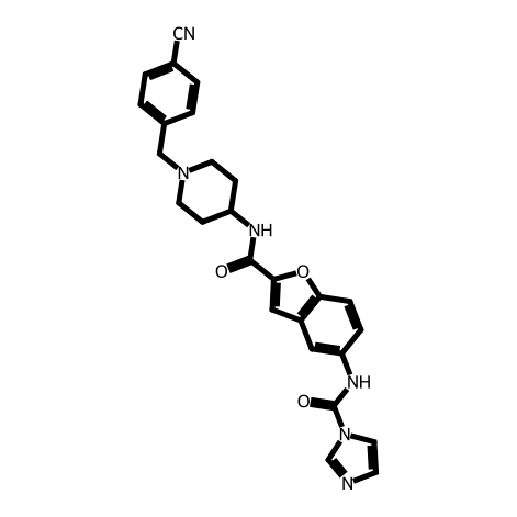 N#Cc1ccc(CN2CCC(NC(=O)c3cc4cc(NC(=O)n5ccnc5)ccc4o3)CC2)cc1